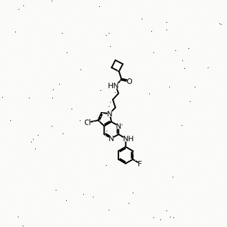 O=C(NCCCn1cc(Cl)c2cnc(Nc3cccc(F)c3)nc21)C1CCC1